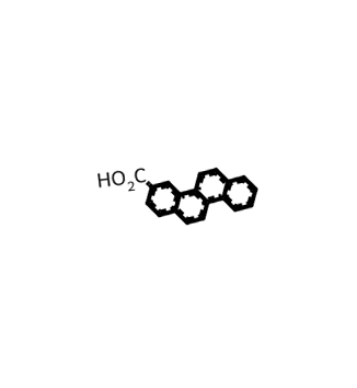 O=C(O)c1ccc2ccc3c4ccccc4ccc3c2c1